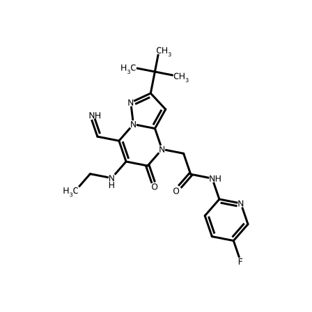 CCNc1c(C=N)n2nc(C(C)(C)C)cc2n(CC(=O)Nc2ccc(F)cn2)c1=O